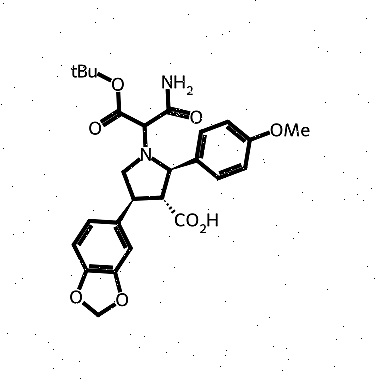 COc1ccc([C@H]2[C@H](C(=O)O)[C@@H](c3ccc4c(c3)OCO4)CN2C(C(N)=O)C(=O)OC(C)(C)C)cc1